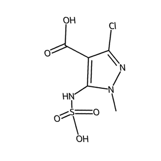 Cn1nc(Cl)c(C(=O)O)c1NS(=O)(=O)O